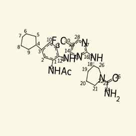 CC(=O)Nc1cc(C2CCCCC2)ccc1Nc1nc(N[C@H]2CCCN(C(N)=O)C2)ncc1C(F)(F)F